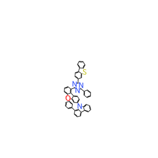 c1ccc(-c2nc(-c3ccc4c(c3)sc3ccccc34)nc(-c3cccc4oc5cc(-n6c7ccccc7c7cccc(-c8ccccc8)c76)ccc5c34)n2)cc1